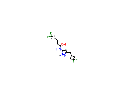 Cn1nc(CC2CC(F)(F)C2)cc1NC(O)CCC1CC(F)(F)C1